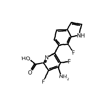 Nc1c(F)c(C(=O)O)nc(-c2ccc3cc[nH]c3c2F)c1F